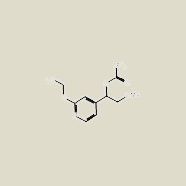 COCC(OC(N)=O)c1ccnc(OCC(F)(F)F)c1